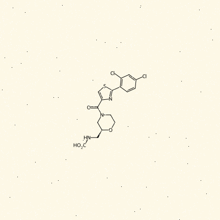 O=C(O)NC[C@H]1CN(C(=O)c2csc(-c3ccc(Cl)cc3Cl)n2)CCO1